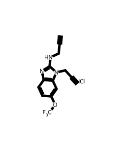 C#CCNc1nc2ccc(OC(F)(F)F)cc2n1CC#C.Cl